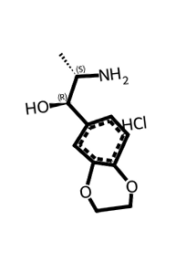 C[C@H](N)[C@H](O)c1ccc2c(c1)OCCO2.Cl